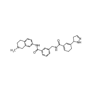 CN1CCc2ccc(NC(=O)c3cccc(CNC(=O)C4=CCCC(C5CC=NN5)=C4)c3)cc2C1